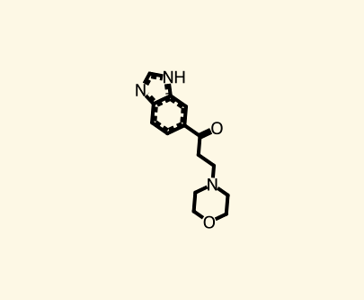 O=C(CCN1CCOCC1)c1ccc2nc[nH]c2c1